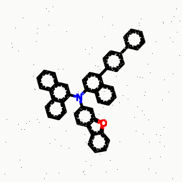 c1ccc(-c2ccc(-c3ccc(N(c4ccc5c(c4)oc4ccccc45)c4cc5ccccc5c5ccccc45)c4ccccc34)cc2)cc1